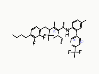 C=CC(C)/C(C(=C)Nc1ccc(C)cc1C(/C=C\C(=C)C(C)(F)F)=C/C)=C(/C)C(Cc1ccc(CCCC)c(F)c1F)C(C)(C)C